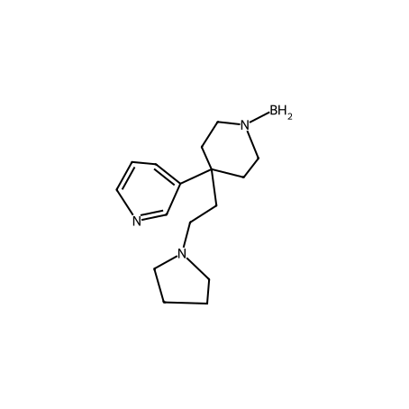 BN1CCC(CCN2CCCC2)(c2cccnc2)CC1